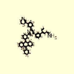 C=C/C(=C\C=C/N)c1cccc(-c2cc(-c3cccc(C4=CN=CCC4)c3)nc(-c3cccc(-c4c5ccccc5c(-c5ccccc5)c5ccccc45)c3)n2)c1